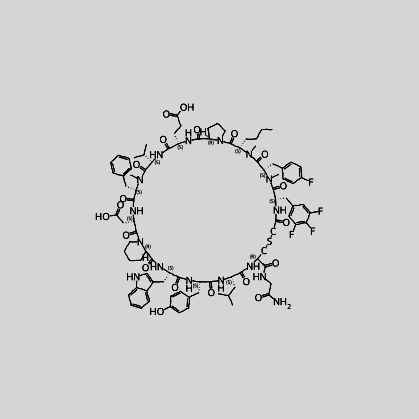 CCCC[C@H]1C(=O)N2CCC[C@@H]2C(=O)N[C@@H](CCC(=O)O)C(=O)N[C@@H](C(C)C)C(=O)N(C)[C@@H](Cc2ccccc2)C(=O)N[C@@H](CC(=O)O)C(=O)N2CCCC[C@@H]2C(=O)N[C@@H](Cc2c[nH]c3ccccc23)C(=O)N[C@@H](Cc2ccc(O)cc2)C(=O)N[C@@H](CC(C)C)C(=O)N[C@H](C(=O)NCC(N)=O)CSCC(=O)N[C@@H](Cc2cc(F)c(F)c(F)c2)C(=O)N(C)[C@@H](Cc2ccc(F)cc2)C(=O)N1C